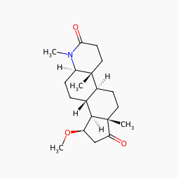 CO[C@@H]1CC(=O)[C@@]2(C)CC[C@H]3[C@@H](CC[C@H]4N(C)C(=O)CC[C@]34C)[C@H]12